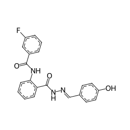 O=C(Nc1ccccc1C(=O)NN=Cc1ccc(O)cc1)c1cccc(F)c1